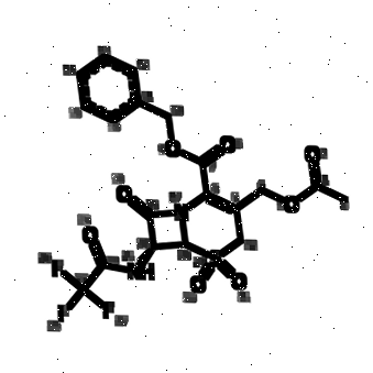 CC(=O)OCC1=C(C(=O)OCc2ccccc2)N2C(=O)[C@H](NC(=O)C(F)(F)F)C2S(=O)(=O)C1